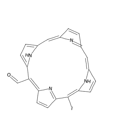 O=Cc1c2nc(c(I)c3ccc(cc4nc(cc5ccc1[nH]5)C=C4)[nH]3)C=C2